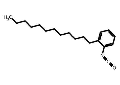 CCCCCCCCCCC[CH]c1ccccc1N=C=O